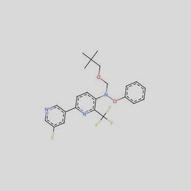 CC(C)(C)COCN(Oc1ccccc1)c1ccc(-c2cncc(F)c2)nc1C(F)(F)F